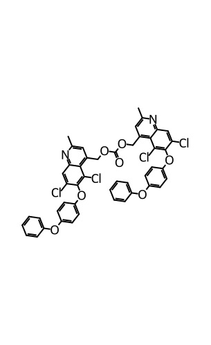 Cc1cc(COC(=O)OCc2cc(C)nc3cc(Cl)c(Oc4ccc(Oc5ccccc5)cc4)c(Cl)c23)c2c(Cl)c(Oc3ccc(Oc4ccccc4)cc3)c(Cl)cc2n1